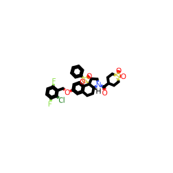 O=C(C1CCS(=O)(=O)CC1)N1CC[C@@]2(S(=O)(=O)c3ccccc3)c3ccc(OCc4c(F)ccc(F)c4Cl)cc3CC[C@@H]12